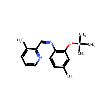 Cc1ccc(/N=C\c2ncccc2C)c(O[Si](C)(C)C)c1